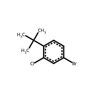 CC(C)(C)c1ccc(Br)cc1Cl